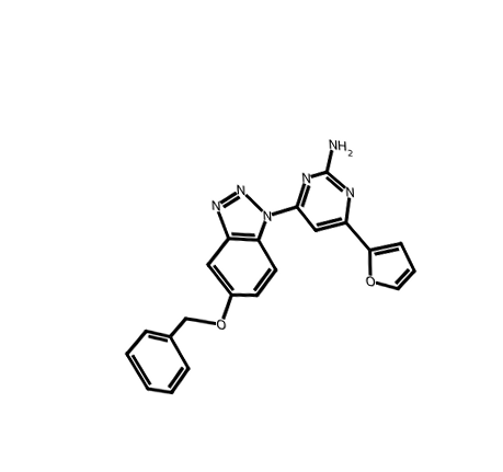 Nc1nc(-c2ccco2)cc(-n2nnc3cc(OCc4ccccc4)ccc32)n1